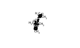 CCc1c(S(=O)(=O)c2ccc(C)cc2)c(CC)n(CCCOc2cc(C)c(Cl)c(C)c2)c1C(=O)O